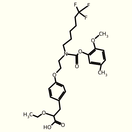 CCOC(Cc1ccc(OCCN(CCCCCC(F)(F)F)C(=O)Oc2cc(C)ccc2OC)cc1)C(=O)O